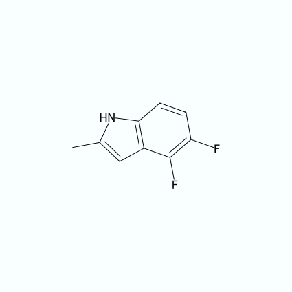 Cc1cc2c(F)c(F)ccc2[nH]1